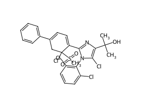 CC(C)(O)c1nc(C2=CC=C(c3ccccc3)CC2(Cl)S(C)(=O)=O)n(-c2c(Cl)cccc2Cl)c1Cl